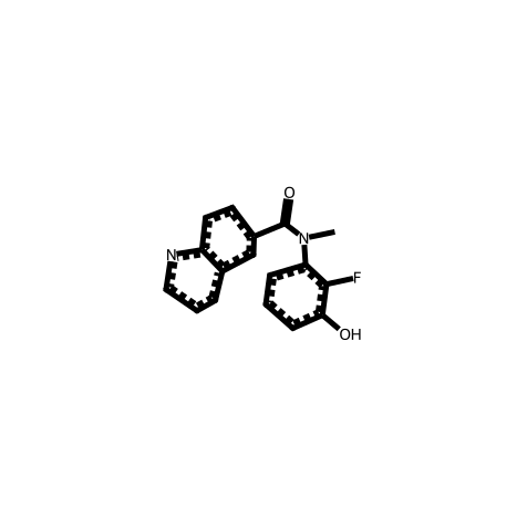 CN(C(=O)c1ccc2ncccc2c1)c1cccc(O)c1F